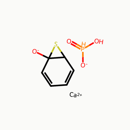 O=[PH]([O-])O.[Ca+2].[O-]C12C=CC=CC1S2